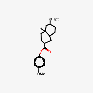 CCCCCCCC1CCC2C[C@H](C(=O)Oc3ccc(OC)cc3)CC[C@@H]2C1